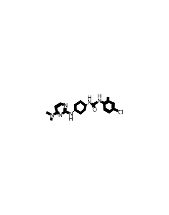 Cc1cc(Cl)ccc1NC(=O)N[C@H]1CC[C@@H](Nc2nccc(N(C)C)n2)CC1